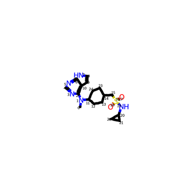 CN(c1ncnc2[nH]ccc12)C1CCC(CS(=O)(=O)NC2CC2)CC1